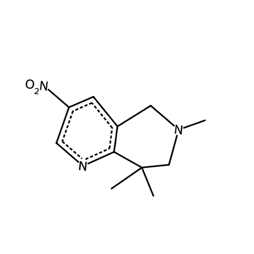 CN1Cc2cc([N+](=O)[O-])cnc2C(C)(C)C1